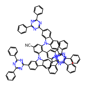 Cc1cc(-c2c(-n3c4cc(-c5nc(-c6ccccc6)nc(-c6ccccc6)n5)ccc4c4ccc(-c5nc(-c6ccccc6)nc(-c6ccccc6)n5)cc43)cc(C#N)cc2-n2c3cc(-c4nc(-c5ccccc5)nc(-c5ccccc5)n4)ccc3c3ccc(-c4nc(-c5ccccc5)nc(-c5ccccc5)n4)cc32)cc(C)n1